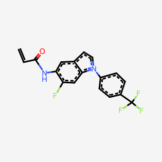 C=CC(=O)Nc1cc2ccn(-c3ccc(C(F)(F)F)cc3)c2cc1F